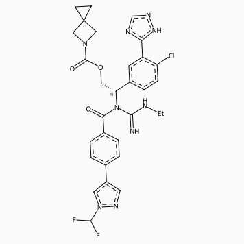 CCNC(=N)N(C(=O)c1ccc(-c2cnn(C(F)F)c2)cc1)[C@H](COC(=O)N1CC2(CC2)C1)c1ccc(Cl)c(-c2ncn[nH]2)c1